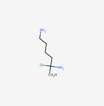 NCCCCC(N)(Cl)C(=O)O